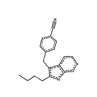 CCCCc1nc2cnccc2n1Cc1ccc(C#N)cc1